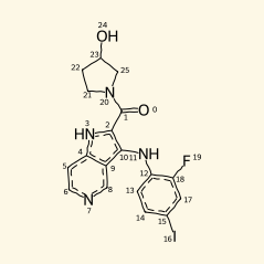 O=C(c1[nH]c2ccncc2c1Nc1ccc(I)cc1F)N1CCC(O)C1